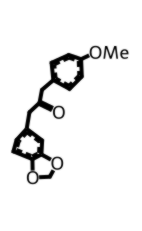 COc1ccc(CC(=O)Cc2ccc3c(c2)OCO3)cc1